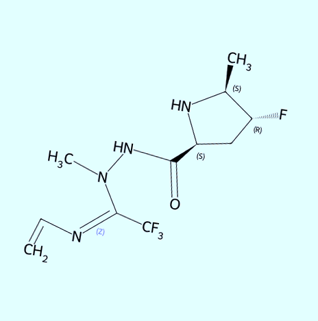 C=C/N=C(\N(C)NC(=O)[C@@H]1C[C@@H](F)[C@H](C)N1)C(F)(F)F